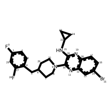 Fc1ccc(CC2CCN(c3nc4cc(Br)ccc4nc3NC3CC3)CC2)c(F)c1